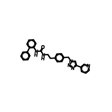 O=C(NCCc1ccc(Cn2cc(-c3cccnc3)nn2)cc1)Nc1ccccc1-c1ccccc1